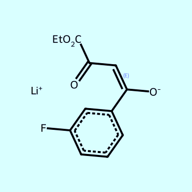 CCOC(=O)C(=O)/C=C(/[O-])c1cccc(F)c1.[Li+]